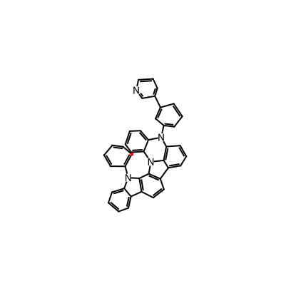 c1ccc(-n2c3ccccc3c3ccc4c5cccc6c5n(c4c32)-c2ccccc2N6c2cccc(-c3cccnc3)c2)cc1